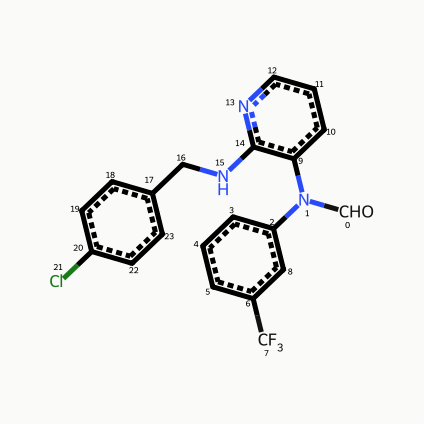 O=CN(c1cccc(C(F)(F)F)c1)c1cccnc1NCc1ccc(Cl)cc1